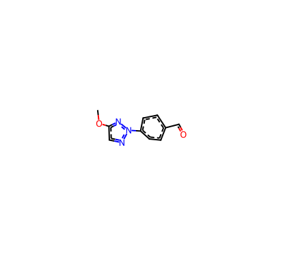 COc1cnn(-c2ccc(C=O)cc2)n1